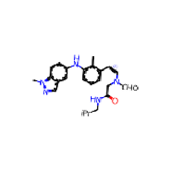 Cc1c(/C=C\N(C=O)CC(=O)NCC(C)C)cccc1Nc1ccc2c(cnn2C)c1